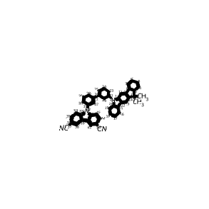 CC1(C)c2ccccc2-c2cc3c(cc21)c1ccccc1n3-c1cccc(-c2cccc(-n3c4ccc(C#N)cc4c4cc(C#N)ccc43)c2)c1